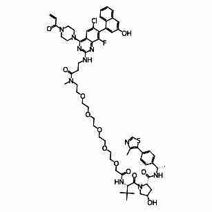 C=CC(=O)N1CCN(c2nc(NCCC(=O)N(C)CCOCCOCCOCCOCCOCC(=O)N[C@H](C(=O)N3C[C@H](O)C[C@H]3C(=O)N[C@@H](C)c3ccc(-c4scnc4C)cc3)C(C)(C)C)nc3c(F)c(-c4cc(O)cc5ccccc45)c(Cl)cc23)CC1